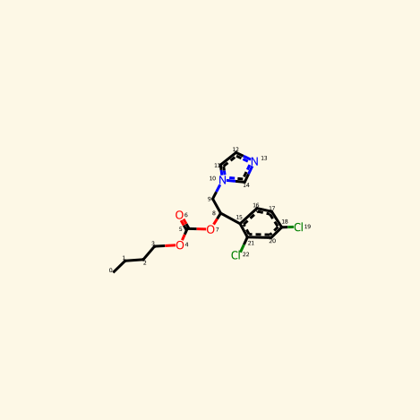 CCCCOC(=O)OC(Cn1ccnc1)c1ccc(Cl)cc1Cl